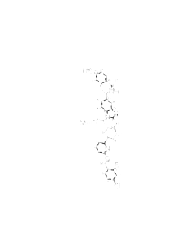 COCCn1c(CN2CCC(c3cccc(OCc4ccc(Cl)cc4F)n3)CC2)nc2cc(CN[C@@H](C)c3ccc(O)cc3)ccc21